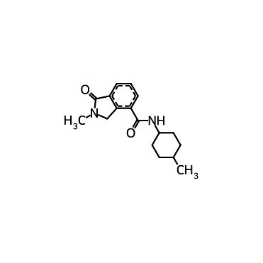 CC1CCC(NC(=O)c2cccc3c2CN(C)C3=O)CC1